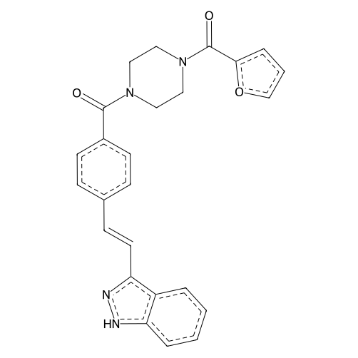 O=C(c1ccc(/C=C/c2n[nH]c3ccccc23)cc1)N1CCN(C(=O)c2ccco2)CC1